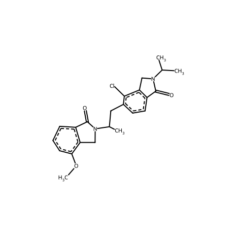 COc1cccc2c1CN(C(C)Cc1ccc3c(c1Cl)CN(C(C)C)C3=O)C2=O